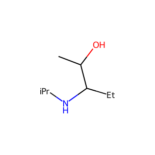 CCC(NC(C)C)C(C)O